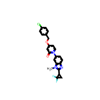 Cn1c(C2CC2(F)F)nc2ccc(-n3ccc(OCc4ccc(Cl)cc4)cc3=O)cc21